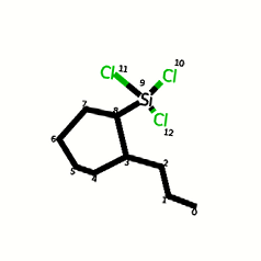 CCCC1CCCCC1[Si](Cl)(Cl)Cl